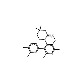 Cc1ccc(-c2c(C)nc(C)c(CC(=O)O)c2N2CCC(C)(C)CC2)cc1C